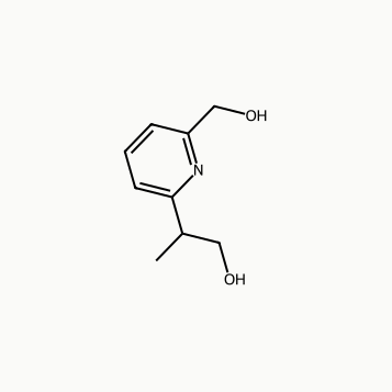 CC(CO)c1cccc(CO)n1